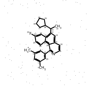 Cc1cc(C)cc(-c2nccc3cc(C(C)C4CCCC4)c4cc(F)ccc4c23)c1